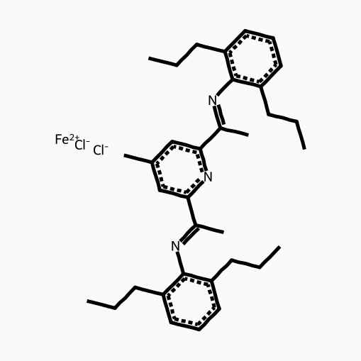 CCCc1cccc(CCC)c1N=C(C)c1cc(C)cc(C(C)=Nc2c(CCC)cccc2CCC)n1.[Cl-].[Cl-].[Fe+2]